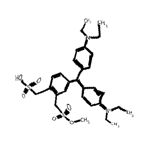 CCN(CC)c1ccc(C(=C2C=CC(=[N+](CC)CC)C=C2)c2ccc(CS(=O)(=O)O)c(CS(=O)(=O)OC)c2)cc1